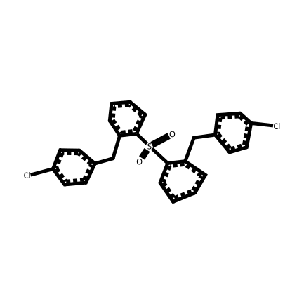 O=S(=O)(c1ccccc1Cc1ccc(Cl)cc1)c1ccccc1Cc1ccc(Cl)cc1